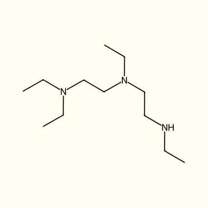 CCNCCN(CC)CCN(CC)CC